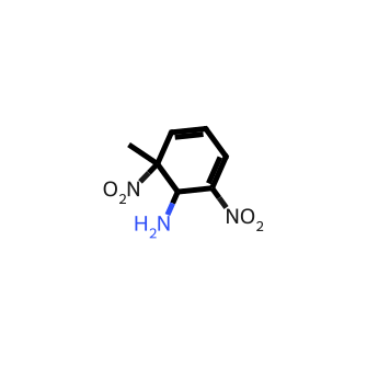 CC1([N+](=O)[O-])C=CC=C([N+](=O)[O-])C1N